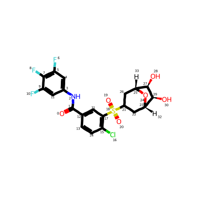 O=C(Nc1cc(F)c(F)c(F)c1)c1ccc(Cl)c(S(=O)(=O)C2C[C@@H]3O[C@H](C2)[C@@H](O)[C@H]3O)c1